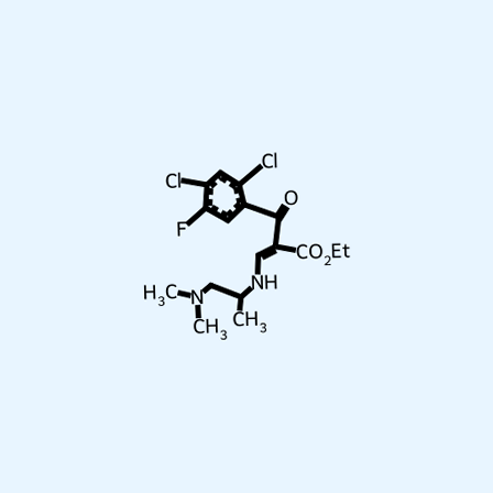 CCOC(=O)C(=CNC(C)CN(C)C)C(=O)c1cc(F)c(Cl)cc1Cl